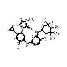 [C-]#[N+]c1cnc(Nc2cc(-n3nnn(C)c3=O)c(C3CC3)cc2F)nc1NC1CC(C)(C)N(C)C(C)(C)C1